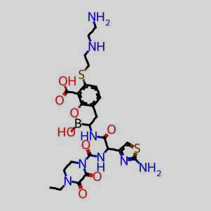 CCN1CCN(C(=O)NC(C(=O)NC2Cc3ccc(SCCNCCN)c(C(=O)O)c3OB2O)c2csc(N)n2)C(=O)C1=O